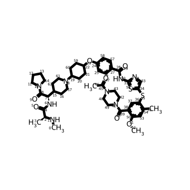 CN[C@@H](C)C(=O)N[C@H](C(=O)N1CCCC1)C1CCN(C2CCC(Oc3ccc(C(=O)Nc4ncc(Sc5cc(C(=O)N6CCN(C(C)=O)CC6)c(OC)cc5C)s4)cc3)CC2)CC1